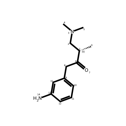 C[C@@H](CN(C)C)C(=O)Cc1cccc(N)c1